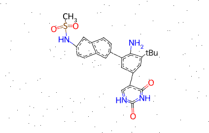 CC(C)(C)c1cc(-c2c[nH]c(=O)[nH]c2=O)cc(-c2ccc3cc(NS(C)(=O)=O)ccc3c2)c1N